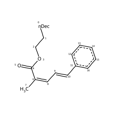 CCCCCCCCCCCCOC(=O)C(C)=CC=Cc1ccccc1